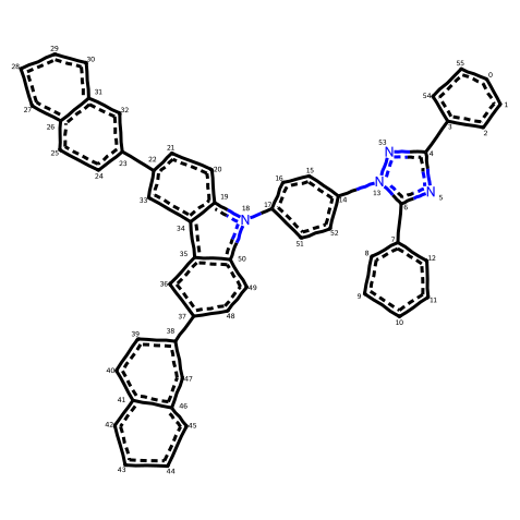 c1ccc(-c2nc(-c3ccccc3)n(-c3ccc(-n4c5ccc(-c6ccc7ccccc7c6)cc5c5cc(-c6ccc7ccccc7c6)ccc54)cc3)n2)cc1